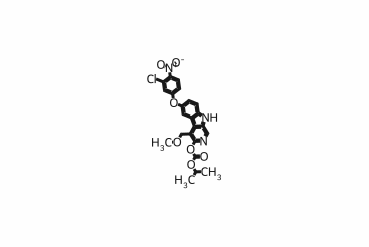 COCc1c(OC(=O)OC(C)C)ncc2[nH]c3ccc(Oc4ccc([N+](=O)[O-])c(Cl)c4)cc3c12